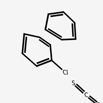 Clc1ccccc1.S=C=S.c1ccccc1